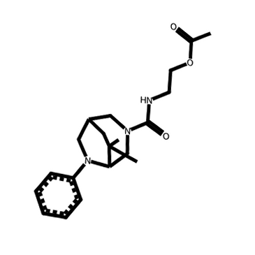 CC(=O)OCCNC(=O)N1CC2CN(c3ccccc3)C(C1)C(C)(C)C2